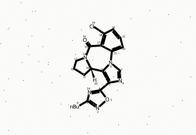 CCCCc1noc(-c2ncn3c2[C@@H]2CCCN2C(=O)c2c(Cl)cccc2-3)n1